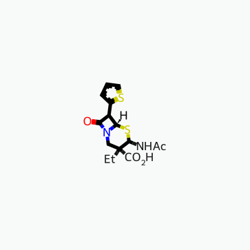 CCC1(C(=O)O)CN2C(=O)C(c3cccs3)[C@H]2SC1NC(C)=O